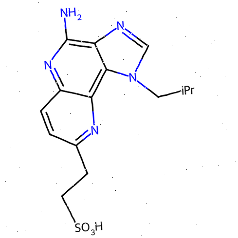 CC(C)Cn1cnc2c(N)nc3ccc(CCS(=O)(=O)O)nc3c21